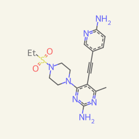 CCS(=O)(=O)N1CCN(c2nc(N)nc(C)c2C#Cc2ccc(N)nc2)CC1